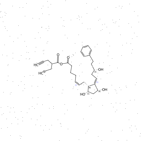 C#CCC(CC#C)C(=O)OC(=O)CCC/C=C\C[C@@H]1/C(=C\C[C@@H](O)CCc2ccccc2)[C@H](O)C[C@@H]1O